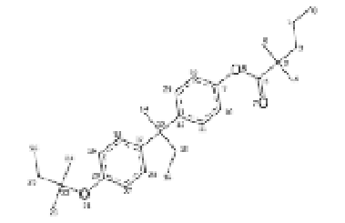 CCCC(C)(C)C(=O)Oc1ccc(C(C)(CC)c2ccc(OC(C)(C)CC)cc2)cc1